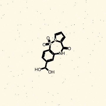 O=C1Nc2cc(C(O)O)ccc2S(=O)(=O)n2cccc21